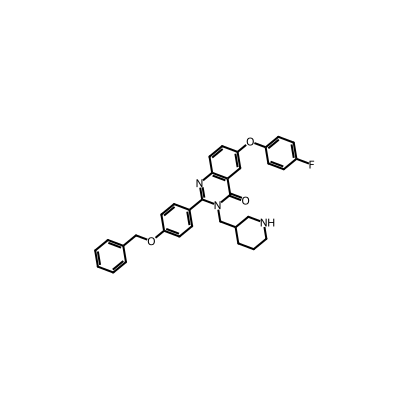 O=c1c2cc(Oc3ccc(F)cc3)ccc2nc(-c2ccc(OCc3ccccc3)cc2)n1CC1CCCNC1